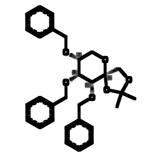 CC1(C)OC[C@]2(OC[C@@H](OCc3ccccc3)[C@@H](OCc3ccccc3)[C@H]2OCc2ccccc2)O1